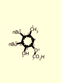 CCCCc1c(C)cc(OC(=O)O)c(O)c1CCCC